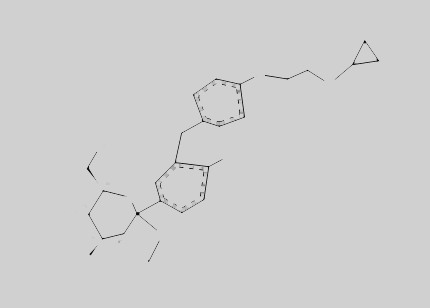 COC1(c2ccc(Cl)c(Cc3ccc(OCCOC4CC4)cc3)c2)O[C@H](CO)[C@@H](O)[C@H](O)[C@H]1O